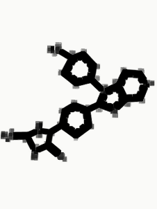 C=C1NC(=O)C(c2ccc(-c3nc4cnccc4n3-c3ccc(C)cc3)cc2)N1